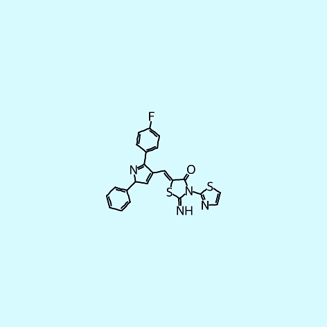 N=C1S/C(=C\C2=CC(c3ccccc3)N=C2c2ccc(F)cc2)C(=O)N1c1nccs1